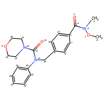 CON(C)C(=O)c1ccc(CN(C(=O)N2CCOCC2)c2ccccc2)cc1